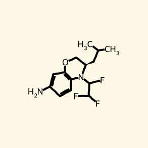 CC(C)C[C@@H]1COc2cc(N)ccc2N1C(F)C(F)F